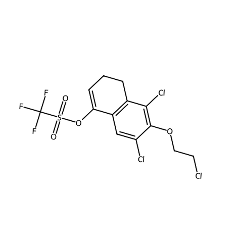 O=S(=O)(OC1=CCCc2c1cc(Cl)c(OCCCl)c2Cl)C(F)(F)F